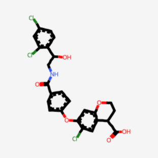 O=C(NCC(O)c1ccc(Cl)cc1Cl)c1ccc(Oc2cc3c(cc2Cl)C(C(=O)O)CCO3)cc1